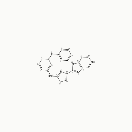 c1ccc(Oc2cccc(Nc3nc(-c4cc5cnccc5o4)cs3)c2)cc1